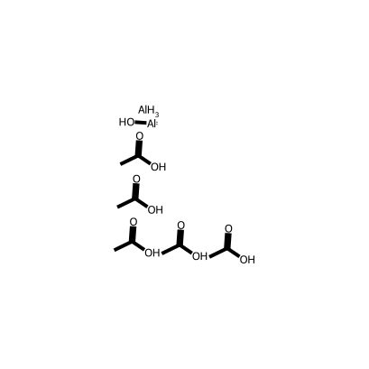 CC(=O)O.CC(=O)O.CC(=O)O.CC(=O)O.CC(=O)O.[AlH3].[OH][Al]